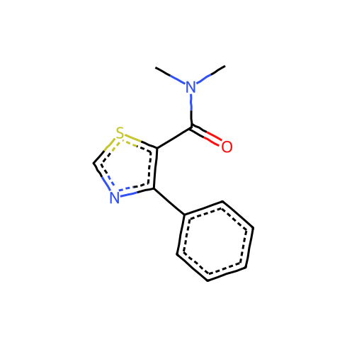 CN(C)C(=O)c1scnc1-c1ccccc1